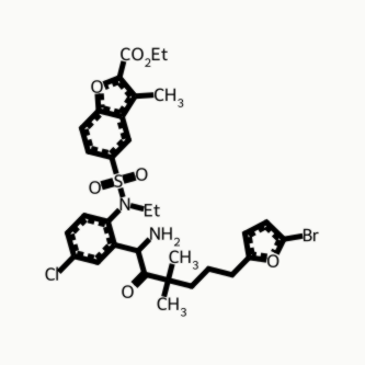 CCOC(=O)c1oc2ccc(S(=O)(=O)N(CC)c3ccc(Cl)cc3C(N)C(=O)C(C)(C)CCCc3ccc(Br)o3)cc2c1C